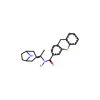 CCN(C(=O)c1ccc2c(c1)Sc1ccccc1C2)C(C)=C1CC2CCC(C1)N2